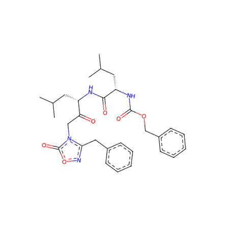 CC(C)C[C@H](NC(=O)[C@H](CC(C)C)NC(=O)OCc1ccccc1)C(=O)Cn1c(Cc2ccccc2)noc1=O